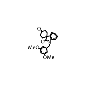 COc1cc(CN2C(=O)C3(CCC(=O)CC3)c3ccccc32)cc(OC)c1